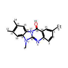 CCc1ccc2nc3n(C)c4cc(C)c(C)cc4n3c(=O)c2c1